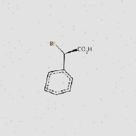 O=C(O)[C@H](Br)c1ccccc1